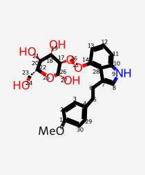 COc1ccc(CCc2c[nH]c3cccc(OO[C@@H]4[C@@H](O)[C@H](O)[C@@H](CO)O[C@H]4O)c23)cc1